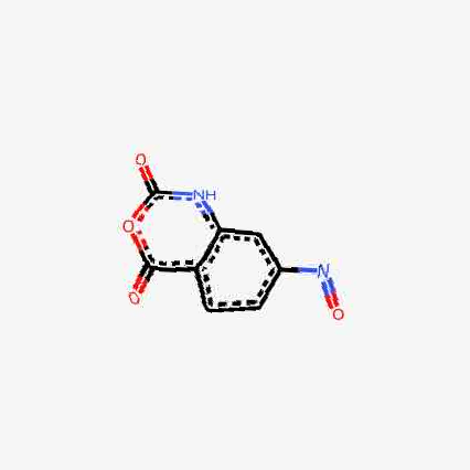 O=Nc1ccc2c(=O)oc(=O)[nH]c2c1